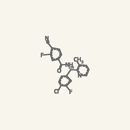 Cc1cccnc1[C@@H](NC(=O)c1ccc(C#N)c(F)c1)c1ccc(Cl)c(F)c1